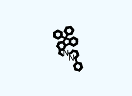 c1ccc(-c2cccc(-n3ccc4ccc5c(c43)-c3ccccc3C5(c3ccccc3)c3ccccc3)n2)cc1